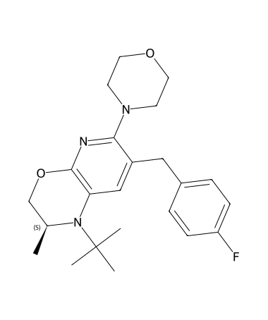 C[C@H]1COc2nc(N3CCOCC3)c(Cc3ccc(F)cc3)cc2N1C(C)(C)C